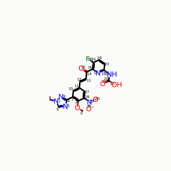 COc1c(-c2ncn(C)n2)cc(C=CC(=O)c2nc(NC(=O)O)ccc2F)cc1[N+](=O)[O-]